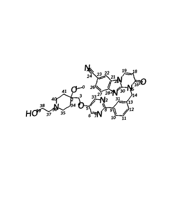 COC1(COc2cnc(-c3cccc(Cn4c(=O)ccn5c6cc(C#N)ccc6nc45)c3)nc2)CCN(CCO)CC1